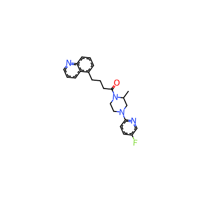 CC1CN(c2ccc(F)cn2)CCN1C(=O)CCCc1cccc2ncccc12